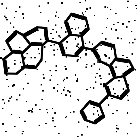 C1=Cc2ccc3ccc(-c4ccc(-c5ccc6ccc7ccc(-c8ccccc8)nc7c6n5)c5ccccc45)c4c3c2C(=CC4)C1